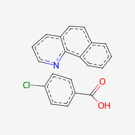 O=C(O)c1ccc(Cl)cc1.c1ccc2c(c1)ccc1cccnc12